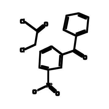 O=C(Cl)CCl.O=C(c1ccccc1)c1cccc([N+](=O)[O-])c1